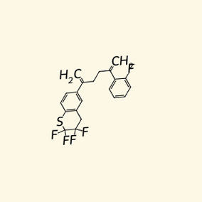 C=C(CCC(=C)c1ccccc1F)c1ccc2c(c1)CC(F)(F)C(F)(F)S2